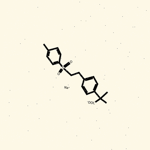 Cc1ccc(S(=O)(=O)CCc2ccc(C(C)(C)C(=O)[O-])cc2)cc1.[Na+]